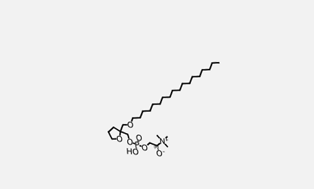 CCCCCCCCCCCCCCCCCCOCC1(COP(=O)(O)OC[C@@H]([O-])[N+](C)(C)C)CCCO1